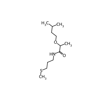 CSCCCNC(=O)C(C)OCCC(C)C